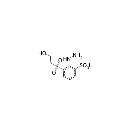 NNc1c(S(=O)(=O)O)cccc1S(=O)(=O)CCO